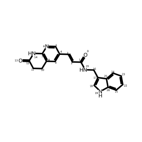 O=C(C=Cc1cnc2c(c1)CCC(=O)N2)NCc1c[nH]c2ccccc12